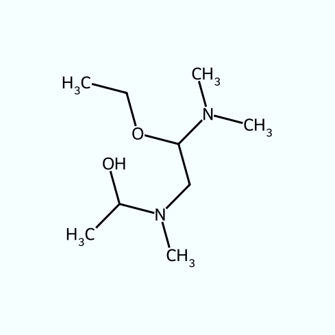 CCOC(CN(C)C(C)O)N(C)C